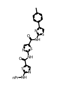 CCCNc1ncc(C(=O)Nc2ncc(C(=O)Nc3nc(-c4ccc(C)cc4)cs3)s2)s1